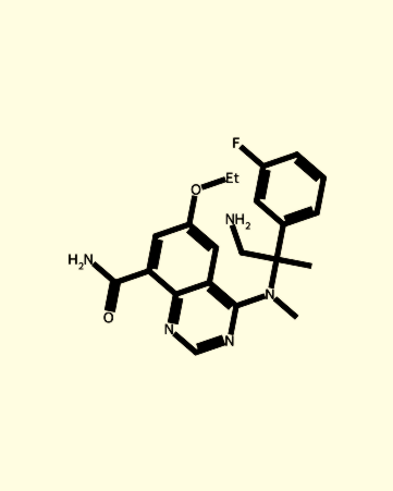 CCOc1cc(C(N)=O)c2ncnc(N(C)C(C)(CN)c3cccc(F)c3)c2c1